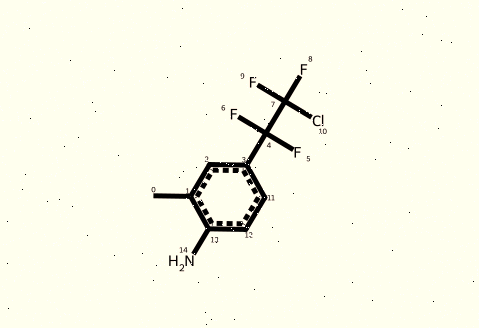 Cc1cc(C(F)(F)C(F)(F)Cl)ccc1N